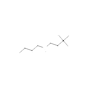 CCCCOCCC(C)(C)C